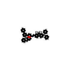 CCC1(CC)c2cc(/C=C/c3ccc(-c4cc(-c5ccccc5)ccc4N4c5ccccc5Oc5ccccc54)cc3)ccc2-c2ccc(N(c3ccccc3)c3ccccc3)cc21